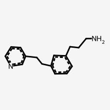 NCCCc1cccc(CCc2cccnc2)c1